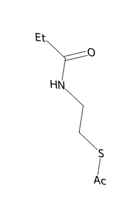 CCC(=O)NCCSC(C)=O